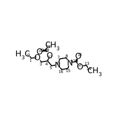 CCOCC(CN1CCN(C(=O)OCC)CC1)OC(C)=O